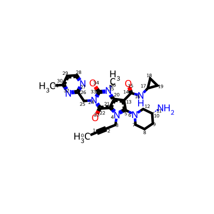 CC#CCn1c(N2CCC[C@@H](N)C2)c(C(=O)NC2CC2)c2c1c(=O)n(Cc1nccc(C)n1)c(=O)n2C